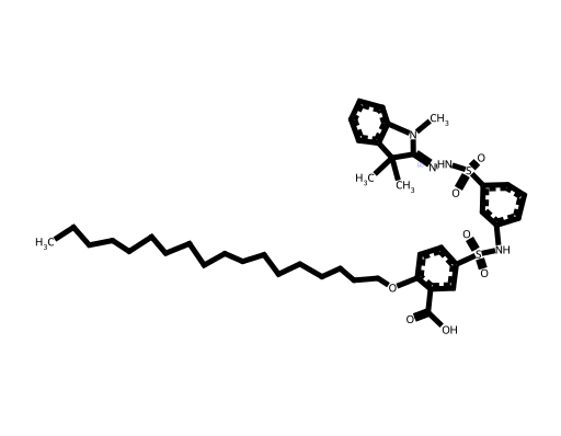 CCCCCCCCCCCCCCCCCCOc1ccc(S(=O)(=O)Nc2cccc(S(=O)(=O)N/N=C3\N(C)c4ccccc4C3(C)C)c2)cc1C(=O)O